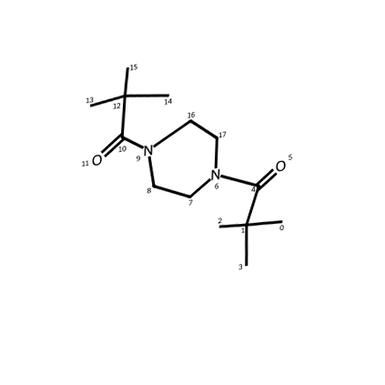 CC(C)(C)C(=O)N1CCN(C(=O)C(C)(C)C)CC1